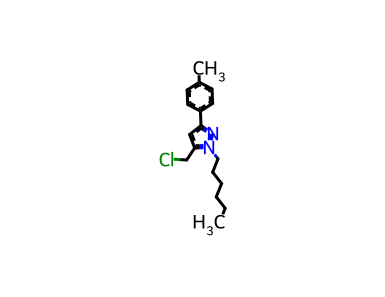 CCCCCCn1nc(-c2ccc(C)cc2)cc1CCl